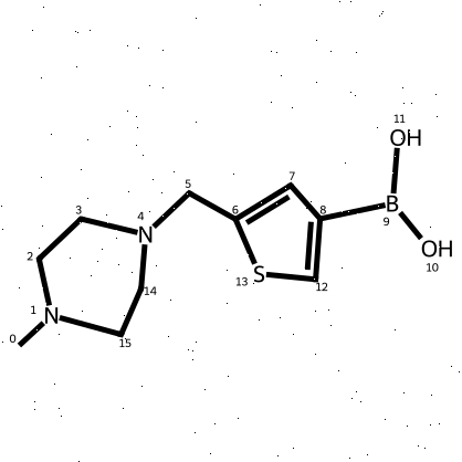 CN1CCN(Cc2cc(B(O)O)cs2)CC1